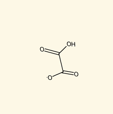 [O]C(=O)C(=O)O